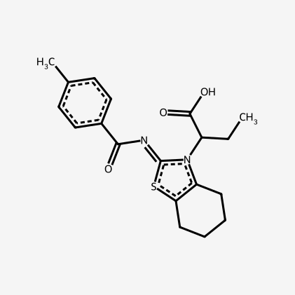 CCC(C(=O)O)n1c2c(sc1=NC(=O)c1ccc(C)cc1)CCCC2